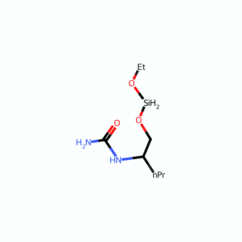 CCCC(CO[SiH2]OCC)NC(N)=O